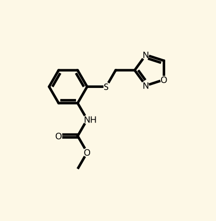 COC(=O)Nc1ccccc1SCc1ncon1